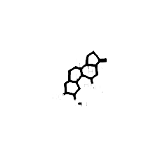 C=C1CC[C@H]2[C@@H]3CCC4CC(O)C(OCC)C[C@]4(C)[C@@H]3C(N)C[C@]12C